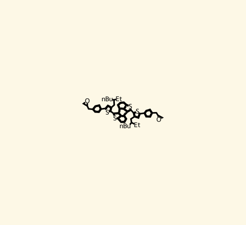 CCCCC(CC)Cc1cc(-c2ccc(CC3CO3)cc2)sc1-c1sc2cccc3c4c(-c5sc(-c6ccc(CC7CO7)cc6)cc5CC(CC)CCCC)sc5cccc(c1c23)c54